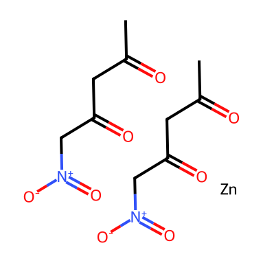 CC(=O)CC(=O)C[N+](=O)[O-].CC(=O)CC(=O)C[N+](=O)[O-].[Zn]